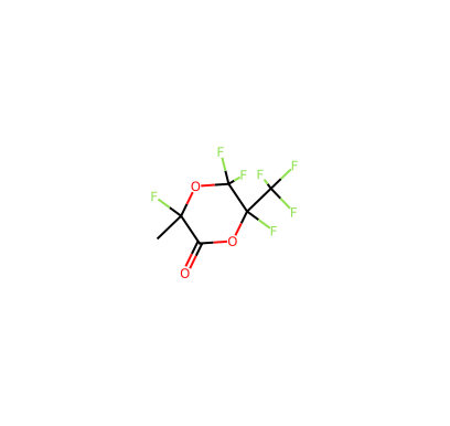 CC1(F)OC(F)(F)C(F)(C(F)(F)F)OC1=O